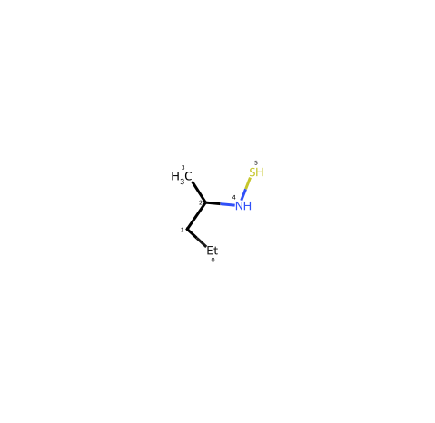 CCCC(C)NS